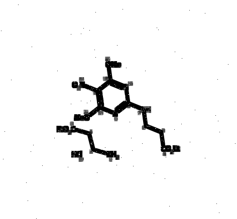 CCOC(=O)CCN.CCOC(=O)CCNc1nc(OC)c([N+](=O)[O-])c(OC)n1.Cl